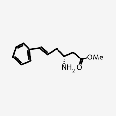 COC(=O)C[C@H](N)C/C=C/c1ccccc1